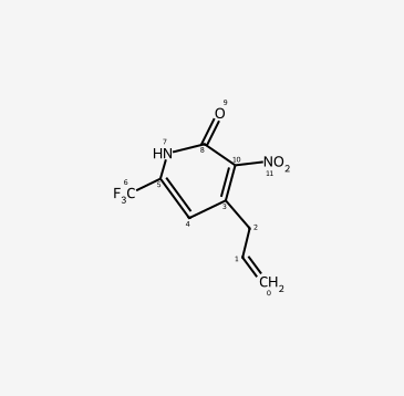 C=CCc1cc(C(F)(F)F)[nH]c(=O)c1[N+](=O)[O-]